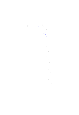 CCCCCCCCCCCCCCCCCCC[n+]1ccn(C(C)C)c1